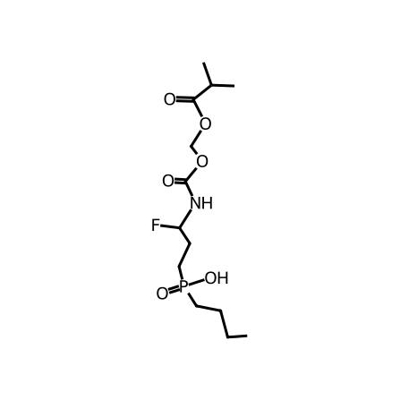 CCCCP(=O)(O)CCC(F)NC(=O)OCOC(=O)C(C)C